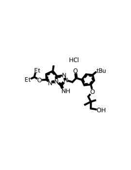 CCC(CC)Oc1cc(C)c2nn(CC(=O)c3cc(OCC(C)(C)CO)cc(C(C)(C)C)c3)c(=N)n2n1.Cl